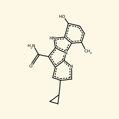 Cc1ccc(O)c2[nH]c3c(C(N)=O)c4cc(C5CC5)cnc4n3c12